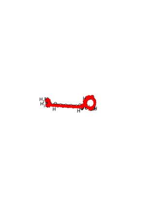 CO[C@H]1C[C@@H]2CC[C@@H](C)[C@@](O)(O2)C(=O)C(=O)N2CCCC[C@H]2C(=O)O[C@H]([C@H](N)C[C@@H]2CC[C@@H](OC(=O)NCCOCCOCCOCCOCCOCCOCCOCCOCCC(=O)NCCCCn3nc(-c4ccc5oc(N)nc5c4)c4c(N)ncnc43)[C@H](OC)C2)CC(=O)[C@H](C)/C=C(\C)[C@@H](O)[C@@H](O)C(=O)[C@H](C)C[C@H](C)/C=C/C=C/C=C/1C